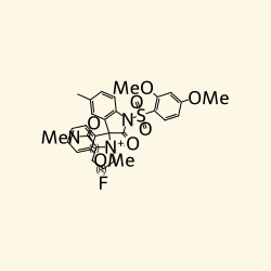 CNC(=O)[C@@H]1C[C@@H](F)C[N+]1(C)C1(c2ccccc2OC)C(=O)N(S(=O)(=O)c2ccc(OC)cc2OC)c2ccc(C)cc21